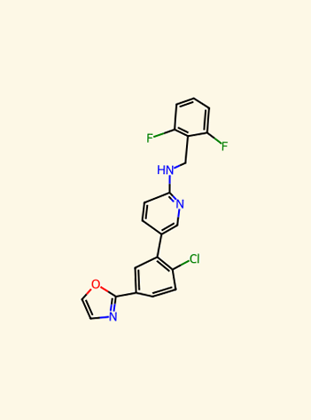 Fc1cccc(F)c1CNc1ccc(-c2cc(-c3ncco3)ccc2Cl)cn1